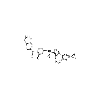 Cn1c(-c2cn(C3CC3)nc2C(F)(F)F)cnc1C(=O)Nc1ccc(C(=O)N2CCC(CN)CC2)c(Cl)c1